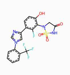 O=C1CN(c2c(O)ccc(-c3cn(-c4ccccc4C(F)(F)F)cn3)c2F)S(=O)(=O)N1